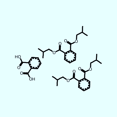 CC(C)COC(=O)c1ccccc1C(=O)OCC(C)C.CC(C)COC(=O)c1ccccc1C(=O)OCC(C)C.O=C(O)c1ccccc1C(=O)O